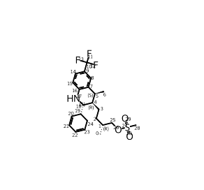 C[C@H](CC[C@@H]1[C@H](C)c2cc(C(F)(F)F)ccc2N[C@H]1C1C=CC=CC1)COS(C)(=O)=O